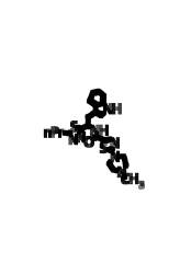 CCCc1nnc(C(Cc2c[nH]c3ccccc23)NC(=O)c2cnc(N3CCN(C)CC3)s2)s1